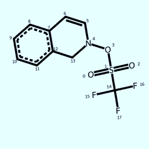 O=S(=O)(ON1C=Cc2ccccc2C1)C(F)(F)F